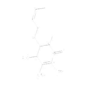 C/C=C\CCC1C(C)C(=O)C(OC)=C(OC)C1OC(C)=O